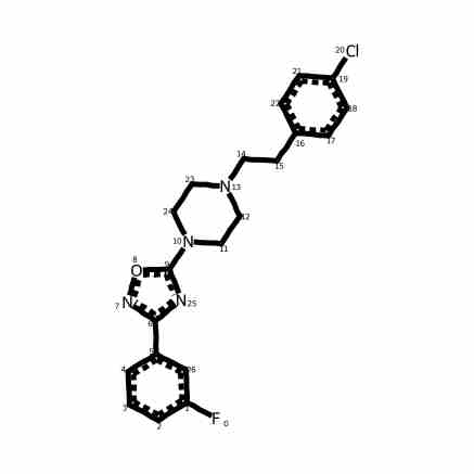 Fc1cccc(-c2noc(N3CCN(CCc4ccc(Cl)cc4)CC3)n2)c1